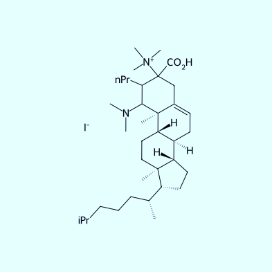 CCCC1C(N(C)C)[C@@]2(C)C(=CC[C@H]3[C@@H]4CC[C@H]([C@H](C)CCCC(C)C)[C@@]4(C)CC[C@@H]32)CC1(C(=O)O)[N+](C)(C)C.[I-]